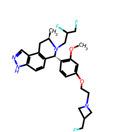 COc1cc(OCCN2CC(CF)C2)ccc1[C@@H]1c2ccc3[nH]ncc3c2C[C@@H](C)N1CC(F)CF